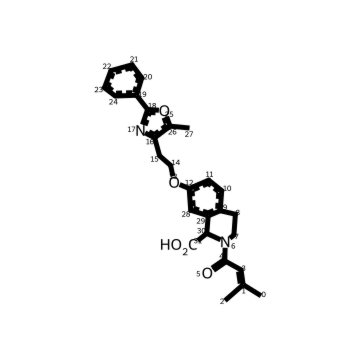 CC(C)=CC(=O)N1CCc2ccc(OCCc3nc(-c4ccccc4)oc3C)cc2C1C(=O)O